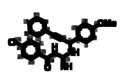 COc1ccc(C(C#Cc2ccccc2)NC(=N)NC(=O)c2ccc(Cl)cc2)cc1